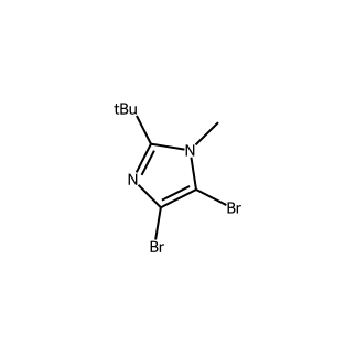 Cn1c(C(C)(C)C)nc(Br)c1Br